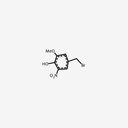 COc1cc(CBr)cc([N+](=O)[O-])c1O